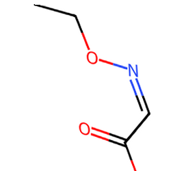 CCO/N=C\C(=O)O